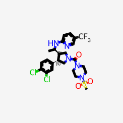 CC(Nc1ccc(C(F)(F)F)cn1)[C@H]1CN(C(=O)N2CCN(S(C)(=O)=O)CC2)C[C@@H]1c1ccc(Cl)c(Cl)c1